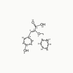 COC(=Cc1ccc(O)cc1)C(=O)O.c1ccncc1